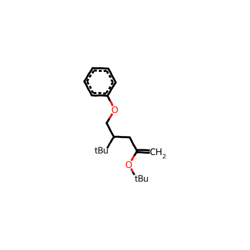 C=C(CC(COc1ccccc1)C(C)(C)C)OC(C)(C)C